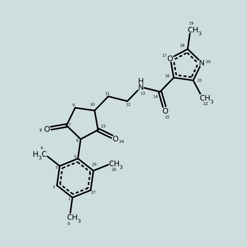 Cc1cc(C)c(C2C(=O)CC(CCNC(=O)c3oc(C)nc3C)C2=O)c(C)c1